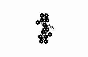 C[Si]1(C)c2cc(N(c3cc(-c4ccccc4)cc(-c4ccccc4)c3F)c3cccc4c3oc3ccccc34)ccc2-c2cc3ccc(N(c4cc(-c5ccccc5)cc(-c5ccccc5)c4F)c4cccc5c4oc4ccccc45)cc3c3cccc1c23